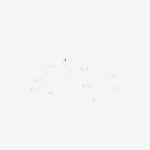 COc1c(Cl)cc(F)c2[nH]c(C(=O)N[C@@H](CC3(C)CC3)C(=O)N[C@H](C#N)C[C@@H]3CC(C)(C)NC3=O)cc12